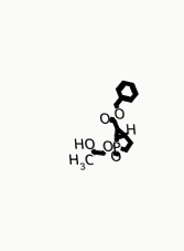 CC(O)COP1(=O)CC[C@H]2C(C(=O)OCc3ccccc3)C21